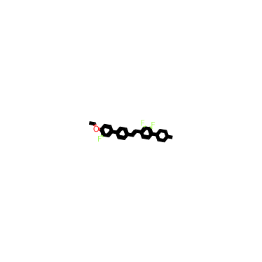 CCOc1ccc(-c2ccc(/C=C/c3ccc(C4CCC(C)CC4)c(F)c3F)cc2)cc1F